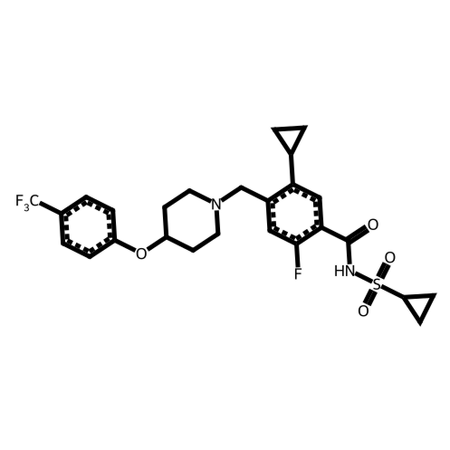 O=C(NS(=O)(=O)C1CC1)c1cc(C2CC2)c(CN2CCC(Oc3ccc(C(F)(F)F)cc3)CC2)cc1F